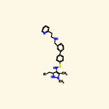 CC1=C(NSc2ccc(-c3cccc(CNCCc4ccccn4)c3)cc2)C(CC(C)C)NN1C